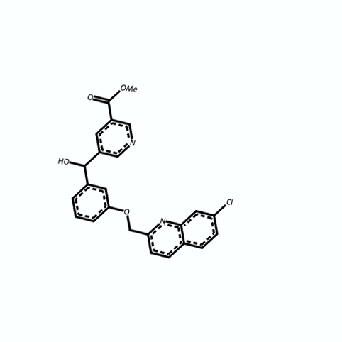 COC(=O)c1cncc(C(O)c2cccc(OCc3ccc4ccc(Cl)cc4n3)c2)c1